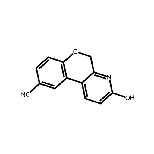 N#Cc1ccc2c(c1)-c1ccc(O)nc1CO2